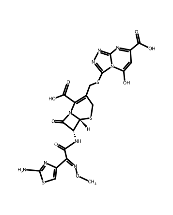 CON=C(C(=O)N[C@@H]1C(=O)N2C(C(=O)O)=C(CSc3nnc4nc(C(=O)O)cc(O)n34)CS[C@H]12)c1csc(N)n1